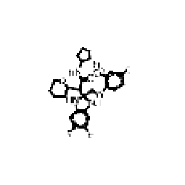 Cc1cc(Cl)ccc1OCC1(C(C(=O)NC2CCCC2)C2CCCCO2)Nc2cc(F)c(F)cc2N1